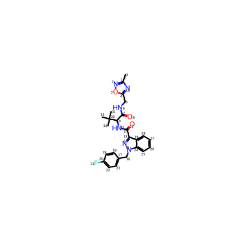 Cc1noc(CNC(=O)C(NC(=O)c2nn(Cc3ccc(F)cc3)c3ccccc23)C(C)(C)C)n1